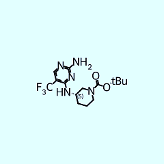 CC(C)(C)OC(=O)N1CCC[C@H](Nc2nc(N)ncc2C(F)(F)F)C1